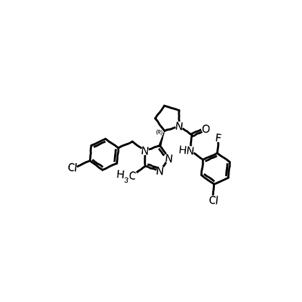 Cc1nnc([C@H]2CCCN2C(=O)Nc2cc(Cl)ccc2F)n1Cc1ccc(Cl)cc1